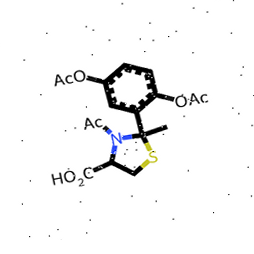 CC(=O)Oc1ccc(OC(C)=O)c(C2(C)SCC(C(=O)O)N2C(C)=O)c1